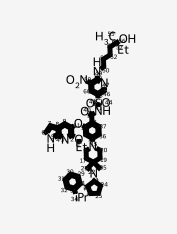 CCOc1nc2[nH]ccc2cc1Oc1cc(N2CCC3(CC2)CN([C@@H]2CCC[C@@H]2c2ccccc2C(C)C)C3)ccc1C(=O)NS(=O)(=O)c1cnc(NCCCC[C@](C)(O)CC)c([N+](=O)[O-])c1